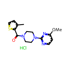 COc1ccnc(N2CCN(C(=O)c3sccc3C)CC2)n1.Cl